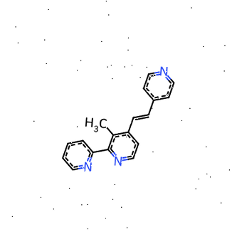 Cc1c(C=Cc2ccncc2)ccnc1-c1ccccn1